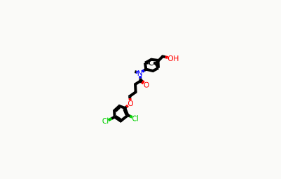 CN(C(=O)CCCOc1ccc(Cl)cc1Cl)C1CC2CCC1CC2CO